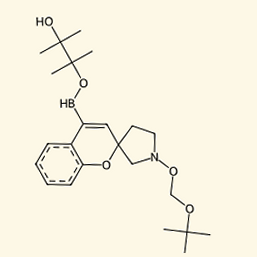 CC(C)(C)OCON1CCC2(C=C(BOC(C)(C)C(C)(C)O)c3ccccc3O2)C1